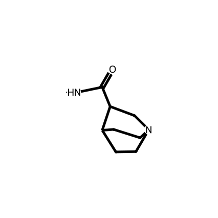 [NH]C(=O)C1CN2CCC1CC2